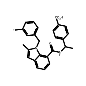 Cc1cc2cccc(C(=O)NC(C)c3ccc(C(=O)O)cc3)c2n1Cc1cccc(Cl)c1